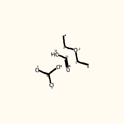 CCOCC.ClC(Cl)Cl.O=CO